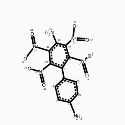 Nc1ccc(-c2c([N+](=O)[O-])c([N+](=O)[O-])c(N)c([N+](=O)[O-])c2[N+](=O)[O-])cc1